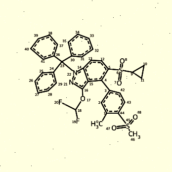 Cc1cc(-c2c(S(=O)(=O)C3CC3)ccc3c2c(OC(F)F)nn3C(c2ccccc2)(c2ccccc2)c2ccccc2)ccc1S(C)(=O)=O